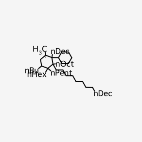 CCCCCCCCCCCCCCCCCCC1(CCCCCCCC)C(CCCCC)(CCCCCC)C(CCCC)C[C](C)C1(CCCCCCCCCC)C1CCCCC1